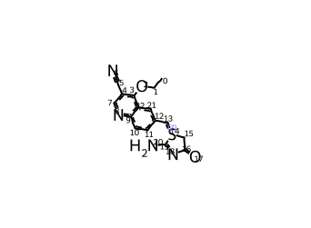 CCOc1c(C#N)cnc2ccc(/C=S3/CC(=O)N=C3N)cc12